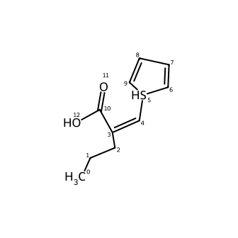 CCCC(=C[SH]1C=CC=C1)C(=O)O